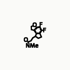 CNC(=O)CCC1CCc2c(F)c(F)c3c(c21)CCO3